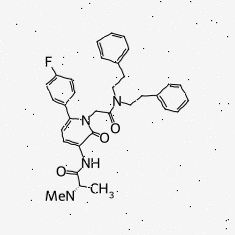 CN[C@@H](C)C(=O)Nc1ccc(-c2ccc(F)cc2)n(CC(=O)N(CCc2ccccc2)CCc2ccccc2)c1=O